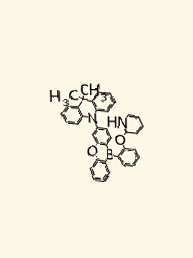 CC1(C)c2ccccc2N(c2ccc3c(c2)Oc2ccccc2B3c2ccccc2OC2C=CC=CN2)c2ccccc21